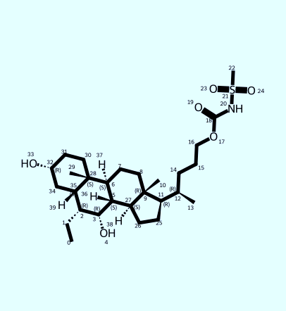 CC[C@H]1[C@@H](O)[C@@H]2[C@H](CC[C@]3(C)[C@@H]([C@H](C)CCCOC(=O)NS(C)(=O)=O)CC[C@@H]23)[C@@]2(C)CC[C@@H](O)C[C@@H]12